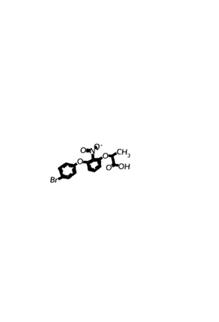 CC(Oc1cccc(Oc2ccc(Br)cc2)c1[N+](=O)[O-])C(=O)O